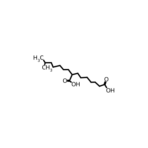 CC(C)CCCCCC(CCCCCCC(=O)O)C(=O)O